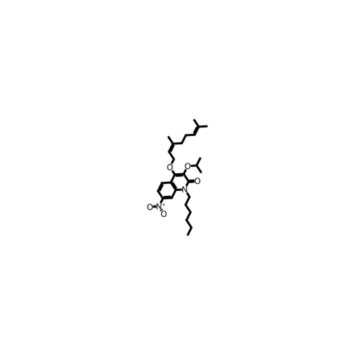 CCCCCCn1c(=O)c(OC(C)C)c(OCC=C(C)CCC=C(C)C)c2ccc([N+](=O)[O-])cc21